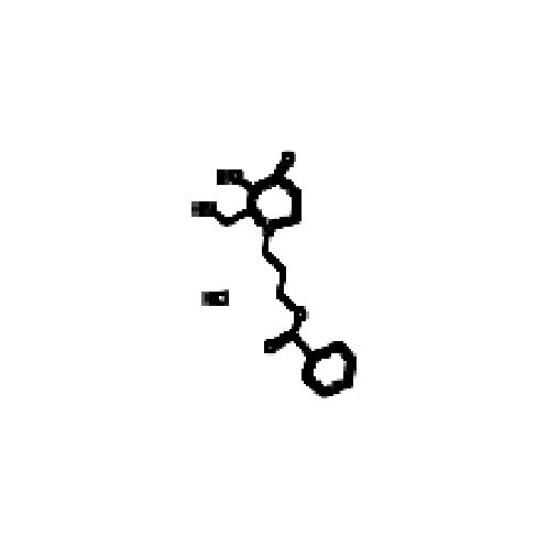 Cl.O=C(OCCCn1ccc(=O)c(O)c1CO)c1ccccc1